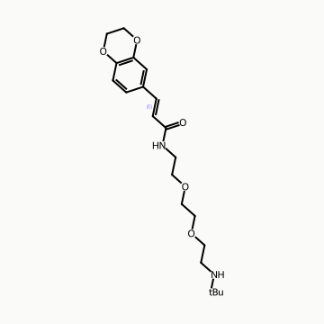 CC(C)(C)NCCOCCOCCNC(=O)/C=C/c1ccc2c(c1)OCCO2